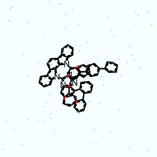 c1ccc(-c2ccc(-c3cc(-c4ccccc4-c4ccccc4-c4ccccc4)cc(-n4c5ccccc5c5ccc6c7ccccc7n(-c7nc(-c8ccccc8)nc(-c8ccccc8)n7)c6c54)c3)cc2)cc1